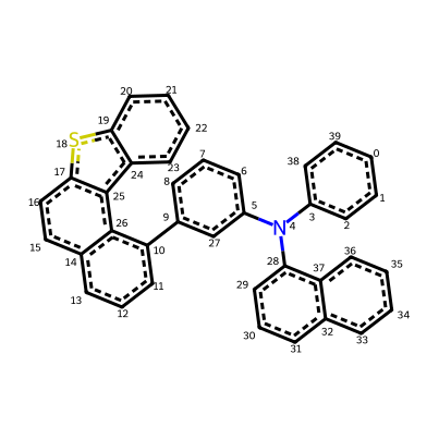 c1ccc(N(c2cccc(-c3cccc4ccc5sc6ccccc6c5c34)c2)c2cccc3ccccc23)cc1